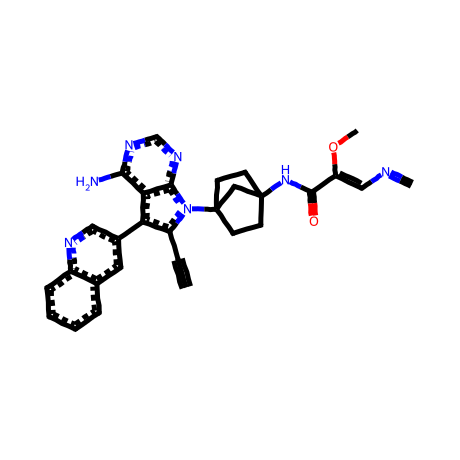 C#Cc1c(-c2cnc3ccccc3c2)c2c(N)ncnc2n1C12CCC(NC(=O)/C(=C/N=C)OC)(CC1)C2